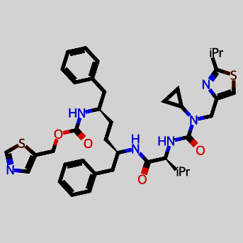 CC(C)c1nc(CN(C(=O)N[C@H](C(=O)N[C@H](CC[C@H](Cc2ccccc2)NC(=O)OCc2cncs2)Cc2ccccc2)C(C)C)C2CC2)cs1